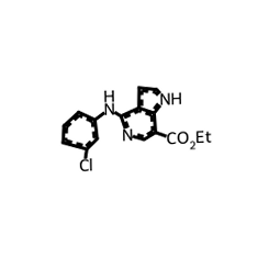 CCOC(=O)c1cnc(Nc2cccc(Cl)c2)c2cc[nH]c12